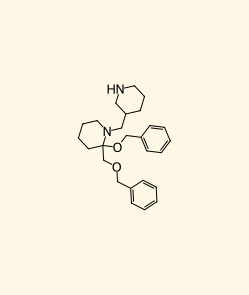 c1ccc(COCC2(OCc3ccccc3)CCCCN2CC2CCCNC2)cc1